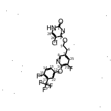 O=c1nc(OCCc2cnc(Oc3ccc(F)c(C(F)(F)F)c3)c(F)c2)c(Cl)c[nH]1